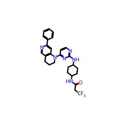 O=C(CC(F)(F)F)NC1CCC(Nc2nccc(N3CCCc4cnc(-c5ccccc5)cc43)n2)CC1